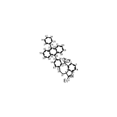 CCC1=Nc2cccc3c2C1CCc1ccc(-c2c4ccccc4c(-c4ccccc4)c4ccccc24)cc1S3(=O)=O